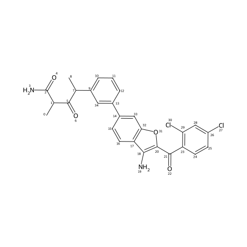 CC(C(N)=O)C(=O)C(C)c1cccc(-c2ccc3c(N)c(C(=O)c4ccc(Cl)cc4Cl)oc3c2)c1